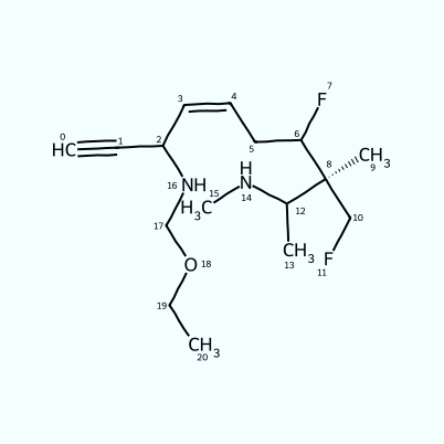 C#CC(/C=C\CC(F)[C@@](C)(CF)C(C)NC)NCOCC